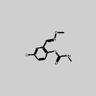 CNC(=O)Oc1ccc(Cl)cc1/C=N/OC